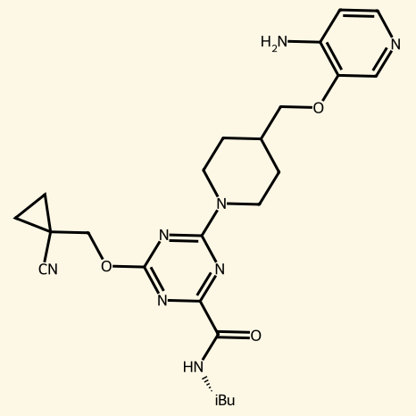 CC[C@@H](C)NC(=O)c1nc(OCC2(C#N)CC2)nc(N2CCC(COc3cnccc3N)CC2)n1